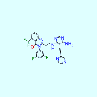 Nc1ncnc(NCCc2nc3cccc(C(F)F)c3c(=O)n2-c2cc(F)cc(F)c2)c1C#Cc1cnccn1